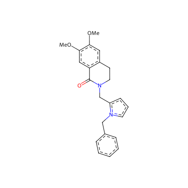 COc1cc2c(cc1OC)C(=O)N(Cc1cccn1Cc1ccccc1)CC2